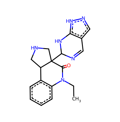 CCN1C(=O)C2(C3N=Cc4cn[nH]c4N3)CNCC2c2ccccc21